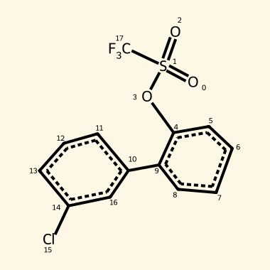 O=S(=O)(Oc1ccccc1-c1cccc(Cl)c1)C(F)(F)F